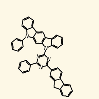 c1ccc(-c2nc(-c3ccc4c(c3)Cc3ccccc3-4)nc(-n3c4ccccc4c4cc5c6ccccc6n(-c6ccccc6)c5cc43)n2)cc1